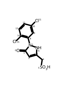 O=c1cc(CS(=O)(=O)O)[nH]n1-c1cc(Cl)ccc1Cl